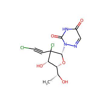 C[C@@H](O)[C@H]1O[C@@H](n2ncc(=O)[nH]c2=O)C(Cl)(C#CCl)[C@H]1O